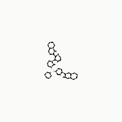 c1ccc(N(c2ccc3c(c2)oc2cc4ccccc4cc23)c2cccc3c2sc2ccc4oc5c6ccccc6ccc5c4c23)cc1